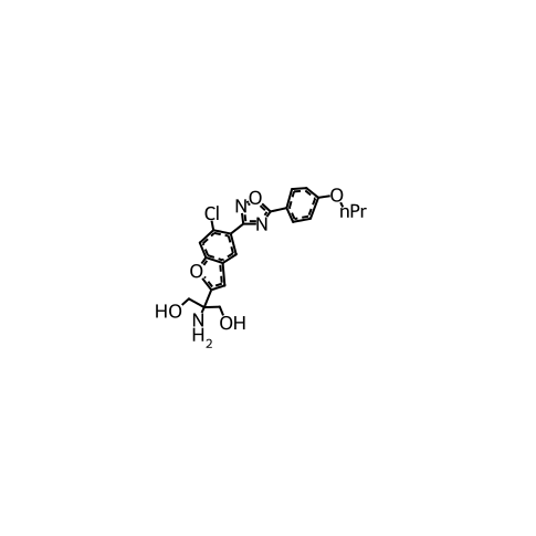 CCCOc1ccc(-c2nc(-c3cc4cc(C(N)(CO)CO)oc4cc3Cl)no2)cc1